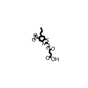 CCCc1cc2sc(SOC(=O)CCC(=O)O)nc2cc1[N+](=O)[O-]